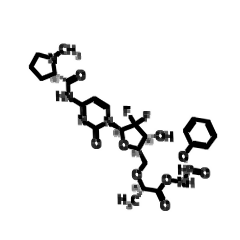 C[C@H](OC[C@H]1O[C@@H](n2ccc(NC(=O)[C@@H]3CCCN3C)nc2=O)C(F)(F)[C@@H]1O)C(=O)ON[PH](=O)Oc1ccccc1